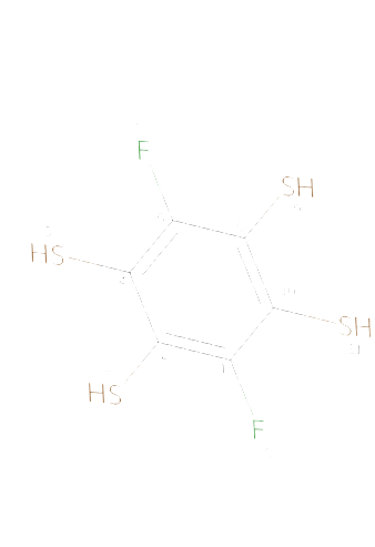 Fc1c(S)c(S)c(F)c(S)c1S